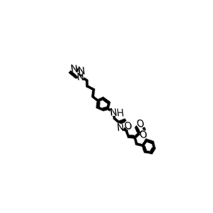 C(=C(Cc1ccccc1)C1=COCO1)c1nc(CNc2ccc(CCCCn3ccnn3)cc2)co1